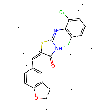 O=C1NC(=Nc2c(Cl)cccc2Cl)SC1=Cc1ccc2c(c1)CCO2